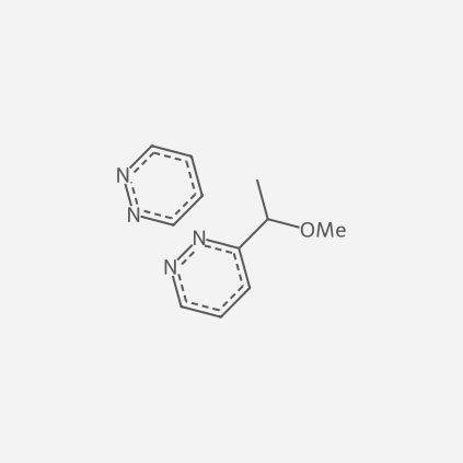 COC(C)c1cccnn1.c1ccnnc1